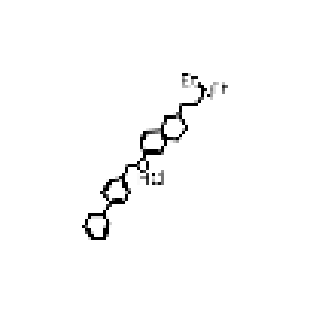 CCN(CC)CCC1CCc2cc(OCc3ccc(-c4ccccc4)cc3)ccc2C1.Cl